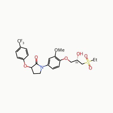 CCS(=O)(=O)C[C@@H](O)COc1ccc(N2CCC(Oc3ccc(C(F)(F)F)cc3)C2=O)cc1OC